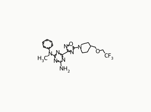 CN(c1ccccc1)c1nc(N)nc(-c2noc(N3CCC(COCC(F)(F)F)CC3)n2)n1